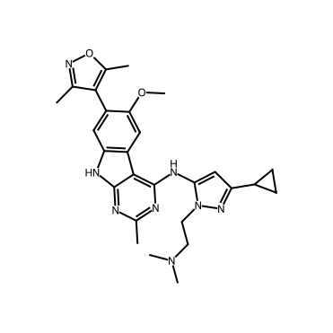 COc1cc2c(cc1-c1c(C)noc1C)[nH]c1nc(C)nc(Nc3cc(C4CC4)nn3CCN(C)C)c12